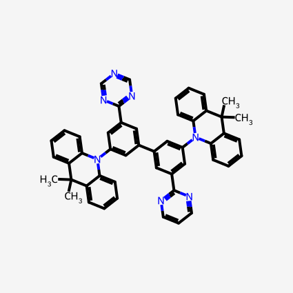 CC1(C)c2ccccc2N(c2cc(-c3cc(-c4ncncn4)cc(N4c5ccccc5C(C)(C)c5ccccc54)c3)cc(-c3ncccn3)c2)c2ccccc21